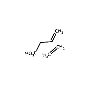 C=C.C=CCC(=O)O